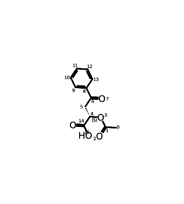 CC(=O)O[C@@H](CC(=O)c1ccccc1)C(=O)O